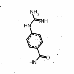 [NH]C(=O)c1ccc(NC(=N)N)cc1